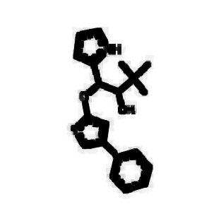 CC(C)(C)C(O)C(Oc1cc(-c2ccccc2)cs1)c1ccc[nH]1